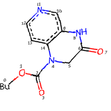 CC(C)(C)OC(=O)N1CC(=O)Nc2cnccc21